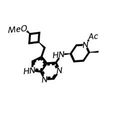 CO[C@H]1C[C@@H](Cc2c[nH]c3ncnc(N[C@@H]4CC[C@H](C)N(C(C)=O)C4)c23)C1